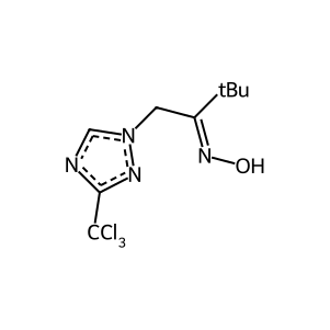 CC(C)(C)C(Cn1cnc(C(Cl)(Cl)Cl)n1)=NO